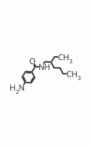 CCCCC(CC)CNC(=O)c1ccc(N)cc1